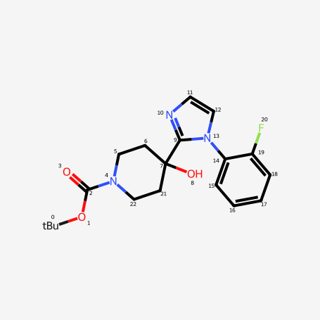 CC(C)(C)OC(=O)N1CCC(O)(c2nccn2-c2ccccc2F)CC1